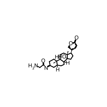 C[C@]12CC/C(=N\C(=O)CN)C[C@H]1CC[C@@H]1[C@@H]2CC[C@]2(C)[C@@H](c3ccc(=O)oc3)CC[C@]12O